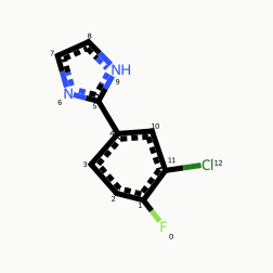 Fc1ccc(-c2ncc[nH]2)cc1Cl